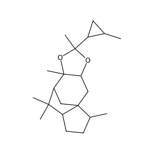 CC1CC1C1(C)OC2CC34CC(C(C)(C)C3CCC4C)C2(C)O1